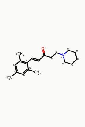 Cc1cc(C)c(C=CC(=O)CCN2CCCCC2)c(C)c1